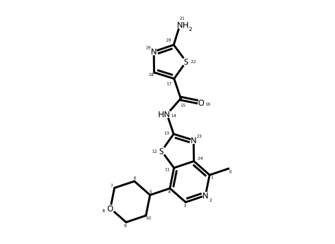 Cc1ncc(C2CCOCC2)c2sc(NC(=O)c3cnc(N)s3)nc12